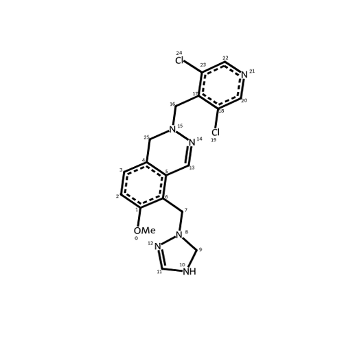 COc1ccc2c(c1CN1CNC=N1)C=NN(Cc1c(Cl)cncc1Cl)C2